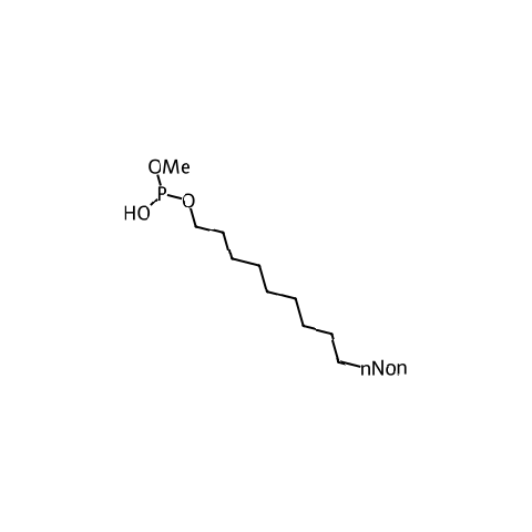 CCCCCCCCCCCCCCCCCCOP(O)OC